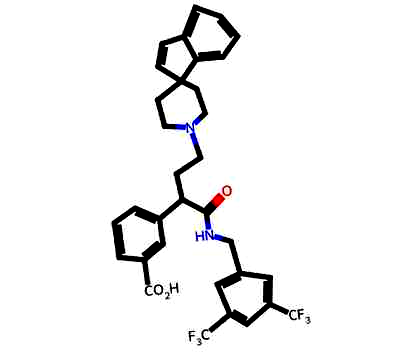 O=C(O)c1cccc(C(CCN2CCC3(C=Cc4ccccc43)CC2)C(=O)NCc2cc(C(F)(F)F)cc(C(F)(F)F)c2)c1